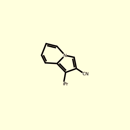 CC(C)c1c(C#N)cn2ccccc12